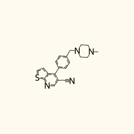 CN1CCN(Cc2ccc(-c3c(C#N)cnc4sccc34)cc2)CC1